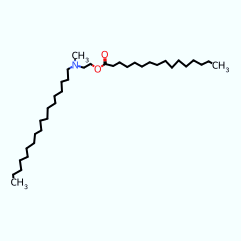 CCCCCCCCCCCCCCCCCCN(C)CCOC(=O)CCCCCCCCCCCCCCC